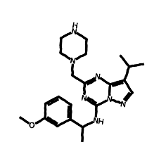 COc1cccc(C(C)Nc2nc(CN3CCNCC3)nc3c(C(C)C)cnn23)c1